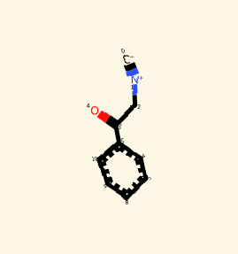 [C-]#[N+]CC(=O)c1ccccc1